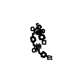 CCc1ccc(CNC(=O)NCc2ccc(CNC(=O)C3SCCN3S(=O)(=O)c3ccc(Cl)cc3)cc2)cc1